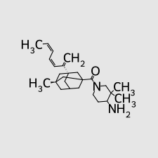 C=C(/C=C\C=C/C)[C@]12CC3CC(C(=O)N4CCC(N)C(C)(C)C4)(C[C@](C)(C3)C1)C2